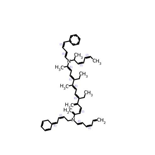 C=C/C=C\C=C\N(C/C=C\C=C1\C=CC=CC1)C(=C)/C=C\C(=C)/C(=C/C=C(C)/C(=C/C=C(\C)N(/C=C/C=C\c1ccccc1)C(C)/C=C\C=C/C)CC)CC